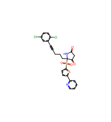 O=C1CC(=O)C(CCCC#Cc2cc(Cl)ccc2Cl)(S(=O)(=O)c2ccc(-c3ccccn3)s2)N1